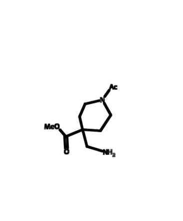 COC(=O)C1(CN)CCN(C(C)=O)CC1